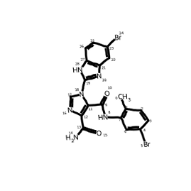 Cc1ccc(Br)cc1NC(=O)c1c(C(N)=O)ncn1-c1nc2cc(Br)ccc2[nH]1